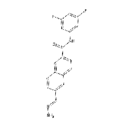 NN=Cc1ccc2cc(C(=O)Nc3cc(F)cc(F)c3)ccc2c1